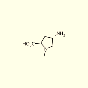 CN1C[C@@H](N)C[C@@H]1C(=O)O